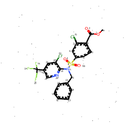 COC(=O)c1ccc(S(=O)(=O)N(Cc2ccccc2)c2ncc(C(F)(F)F)cc2Cl)cc1Cl